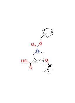 CC(C)(C)[Si](C)(C)O[C@@H]1C[C@H](C(=O)O)CN(C(=O)OCc2ccccc2)C1